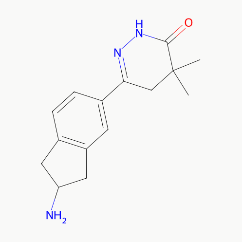 CC1(C)CC(c2ccc3c(c2)CC(N)C3)=NNC1=O